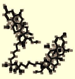 C[C@@H]1C[C@H]2[C@@H]3C[C@H](F)C4=CC(=O)C=C[C@]4(C)[C@@]3(F)[C@@H](O)C[C@]2(C)[C@@]1(OC(=O)CCCCCP(=O)(O)OP(=O)(O)CCCCCC(=O)O[C@]1(C(=O)SCF)[C@H](C)C[C@H]2[C@@H]3C[C@H](F)C4=CC(=O)C=C[C@]4(C)[C@@]3(F)[C@@H](O)C[C@@]21C)C(=O)SCF